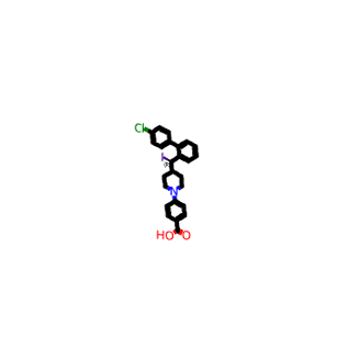 O=C(O)c1ccc(N2CCC([C@@H](I)c3ccccc3-c3ccc(Cl)cc3)CC2)cc1